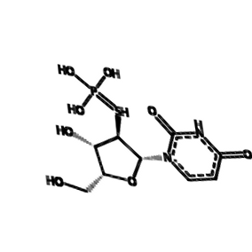 O=c1ccn([C@@H]2O[C@H](CO)[C@H](O)[C@H]2[SH]=P(O)(O)O)c(=O)[nH]1